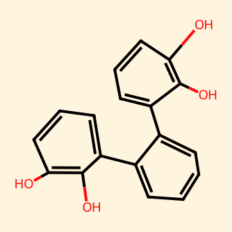 Oc1cccc(-c2ccccc2-c2cccc(O)c2O)c1O